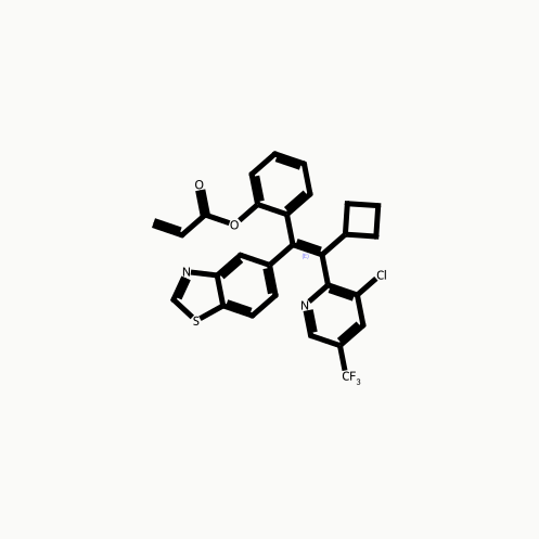 C=CC(=O)Oc1ccccc1/C(=C(/c1ncc(C(F)(F)F)cc1Cl)C1CCC1)c1ccc2scnc2c1